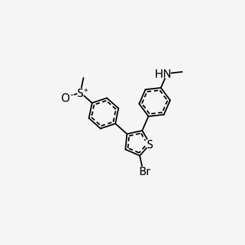 CNc1ccc(-c2sc(Br)cc2-c2ccc([S+](C)[O-])cc2)cc1